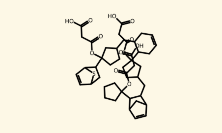 O=C(O)CC(=O)OC1(C2CC=CCC2CC2CCC(OC(=O)CC(=O)O)(C3CC4C=CC3S4)C2)CCC(CC2C3C=CC(C3)C2C2(OC(=O)CC(=O)O)CCCC2)C1